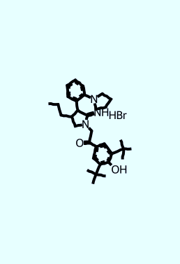 Br.CCCC1CN(CC(=O)c2cc(C(C)(C)C)c(O)c(C(C)(C)C)c2)C(=N)C1c1ccccc1N1CCCC1